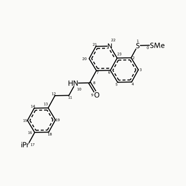 CSSc1cccc2c(C(=O)NCCc3ccc(C(C)C)cc3)ccnc12